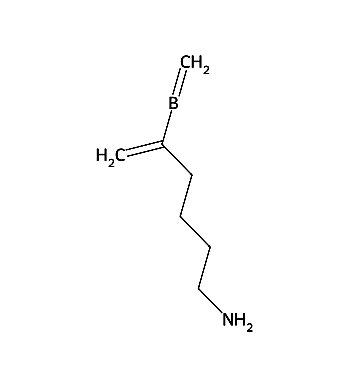 C=BC(=C)CCCCN